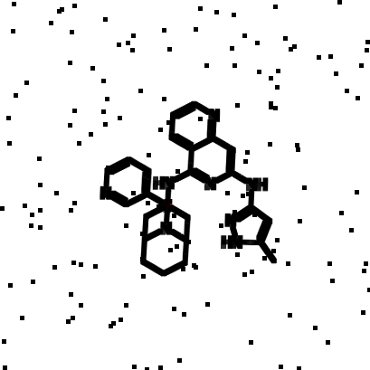 Cc1cc(Nc2cc3ncccc3c(NC3CC4CCCC(C3)N4Sc3cccnc3)n2)n[nH]1